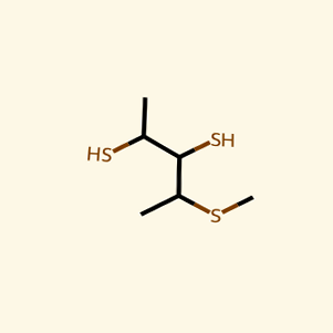 CSC(C)C(S)C(C)S